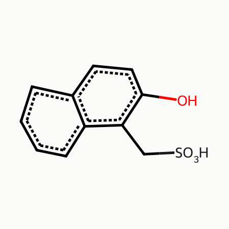 O=S(=O)(O)Cc1c(O)ccc2ccccc12